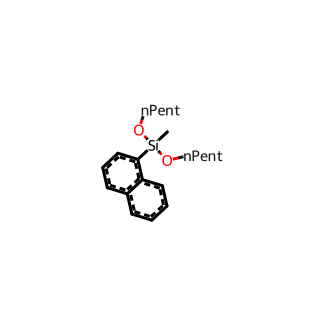 CCCCCO[Si](C)(OCCCCC)c1cccc2ccccc12